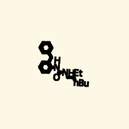 CCCCC(CC)CNC(=O)Nc1ccccc1Cc1ccccc1